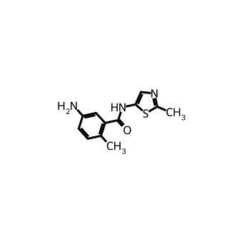 Cc1ncc(NC(=O)c2cc(N)ccc2C)s1